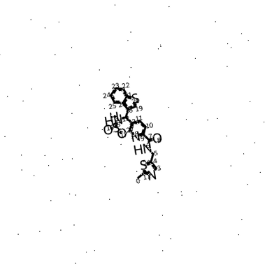 Cc1ncc(CNC(=O)c2ccc(C(N[SH](=O)=O)c3csc4ccccc34)cn2)s1